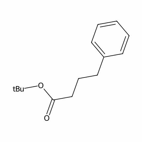 CC(C)(C)OC(=O)CCCc1ccccc1